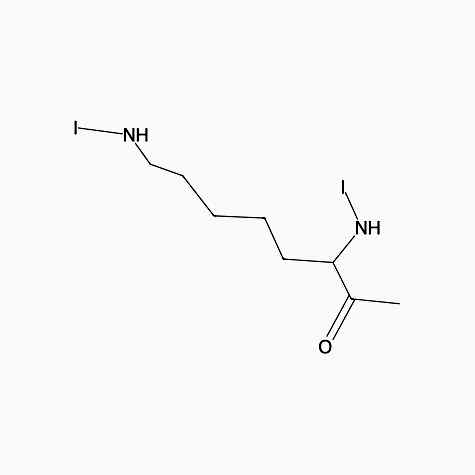 CC(=O)C(CCCCCNI)NI